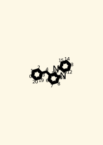 c1ccc(Cc2cccc3nc4ccccc4nc23)cc1